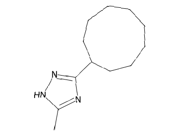 Cc1nc(C2CCCCCCCC2)n[nH]1